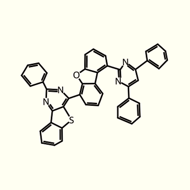 c1ccc(-c2cc(-c3ccccc3)nc(-c3cccc4oc5c(-c6nc(-c7ccccc7)nc7c6sc6ccccc67)cccc5c34)n2)cc1